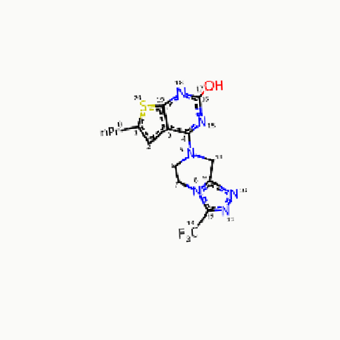 CCCc1cc2c(N3CCn4c(nnc4C(F)(F)F)C3)nc(O)nc2s1